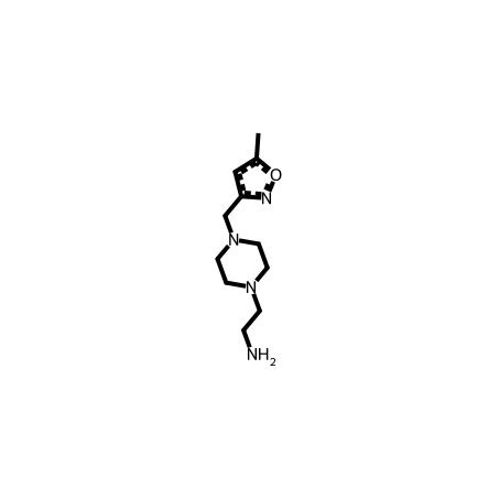 Cc1cc(CN2CCN(CCN)CC2)no1